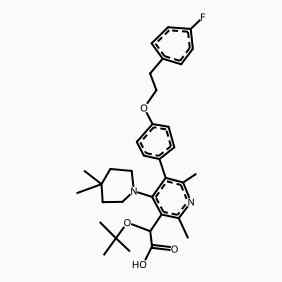 Cc1nc(C)c(C(OC(C)(C)C)C(=O)O)c(N2CCC(C)(C)CC2)c1-c1ccc(OCCc2ccc(F)cc2)cc1